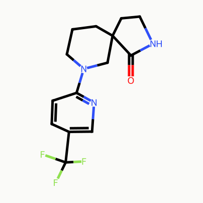 O=C1NCCC12CCCN(c1ccc(C(F)(F)F)cn1)C2